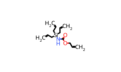 C=CCOC(=O)N[Si](CC=C)(CC=C)CC=C